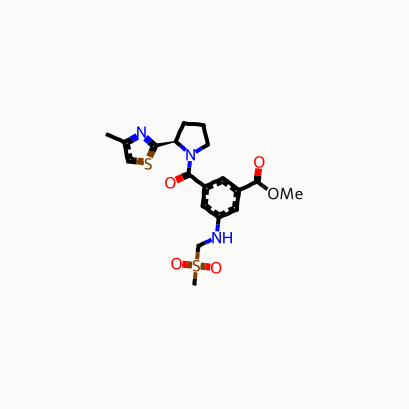 COC(=O)c1cc(NCS(C)(=O)=O)cc(C(=O)N2CCC[C@@H]2c2nc(C)cs2)c1